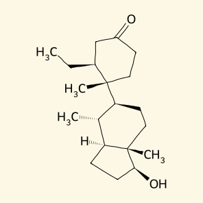 CC[C@H]1CC(=O)CC[C@]1(C)[C@H]1CC[C@]2(C)[C@@H](O)CC[C@H]2[C@@H]1C